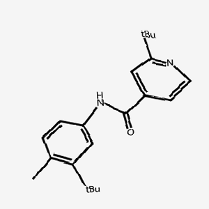 Cc1ccc(NC(=O)c2ccnc(C(C)(C)C)c2)cc1C(C)(C)C